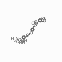 CC1(C)OCc2cc([C@@H]3CN(CCc4ccc(OCCOCc5cccc(NC(=N)OC(N)=O)c5)cc4)C(=O)O3)ccc2O1